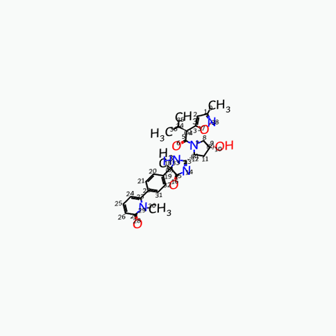 Cc1cc([C@@H](C(=O)N2C[C@H](O)C[C@@H]2C2=NC(=O)[C@](C)(c3ccc(-c4cccc(=O)n4C)cc3)N2)C(C)C)on1